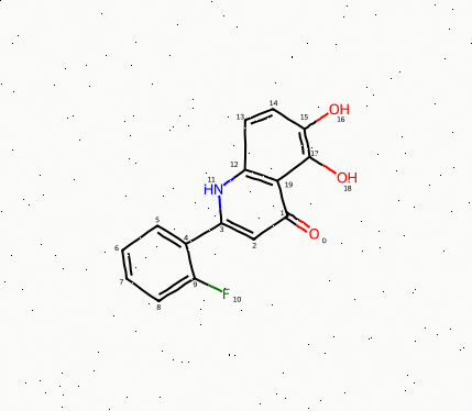 O=c1cc(-c2ccccc2F)[nH]c2ccc(O)c(O)c12